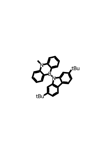 CN1c2ccccc2B(n2c3cc(C(C)(C)C)ccc3c3ccc(C(C)(C)C)cc32)c2ccccc21